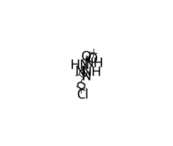 CC1N=C(NNC(=O)OC(C)(C)C)NN=C1c1ccc(Cl)cc1